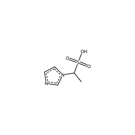 CC(n1ccnc1)S(=O)(=O)O